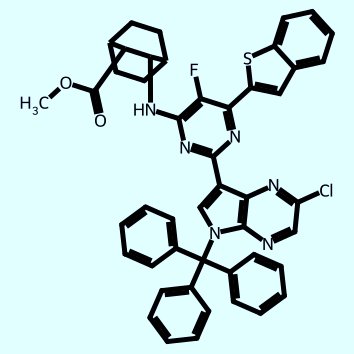 COC(=O)C1C2CCC(CC2)C1Nc1nc(-c2cn(C(c3ccccc3)(c3ccccc3)c3ccccc3)c3ncc(Cl)nc23)nc(-c2cc3ccccc3s2)c1F